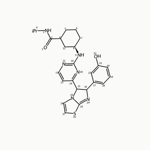 CC(C)NC(=O)C1CCC[C@@H](Nc2nccc(C3C(c4cccc(O)c4)N=C4SC=CN43)n2)C1